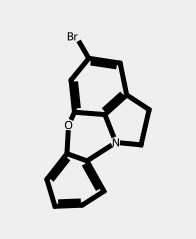 Brc1cc2c3c(c1)Oc1ccccc1N3CC2